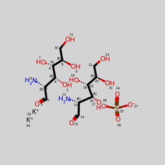 N[C@@H](C=O)[C@@H](O)[C@H](O)[C@H](O)CO.N[C@@H](C=O)[C@@H](O)[C@H](O)[C@H](O)CO.O=S(=O)([O-])[O-].[K+].[K+]